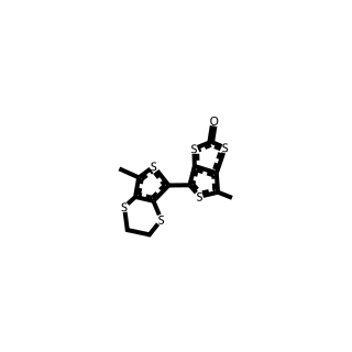 Cc1sc(-c2sc(C)c3sc(=O)sc23)c2c1SCCS2